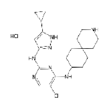 Cl.Clc1cnc(Nc2cc(C3CC3)[nH]n2)nc1NC1CCC2(CCNCC2)CC1